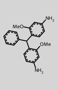 COc1cc(N)ccc1C(c1ccccc1)c1ccc(N)cc1OC